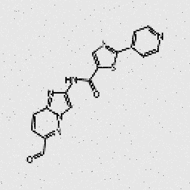 O=Cc1ccc2nc(NC(=O)c3cnc(-c4ccncc4)s3)cn2n1